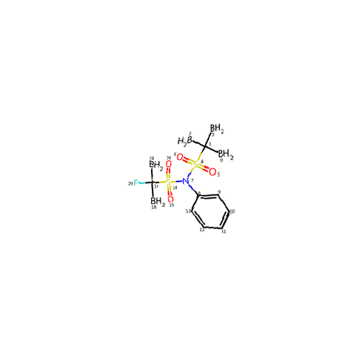 BC(B)(B)S(=O)(=O)N(c1ccccc1)S(=O)(=O)C(B)(B)F